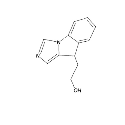 OCCC1c2ccccc2-n2cncc21